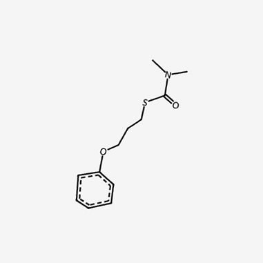 CN(C)C(=O)SCCCOc1ccccc1